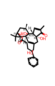 CC1=C[C@H]2[C@@]3(O)[C@H](C)C[C@]4(OC(=O)CCCc5ccccc5)[C@H]([C@@H]3C=C(CO)C[C@]2(O)C1=O)C4(C)C